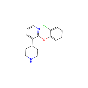 Clc1ccccc1Oc1ncccc1C1CCNCC1